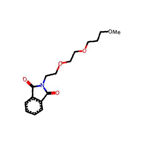 COCCCOCCOCCN1C(=O)c2ccccc2C1=O